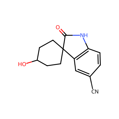 N#Cc1ccc2c(c1)C1(CCC(O)CC1)C(=O)N2